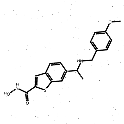 COc1ccc(CNC(C)c2ccc3cc(C(=O)NO)sc3c2)cc1